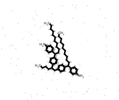 CCCCCCCCCCCC(c1ccc(N)cc1)c1ccc(CC(CCCC)c2ccc(C(CCCCCCCCCCC)c3ccc(N)cc3)cc2)cc1